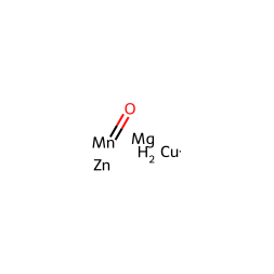 [Cu].[MgH2].[O]=[Mn].[Zn]